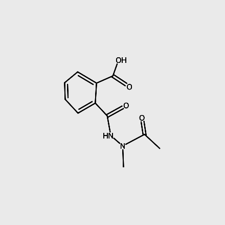 CC(=O)N(C)NC(=O)c1ccccc1C(=O)O